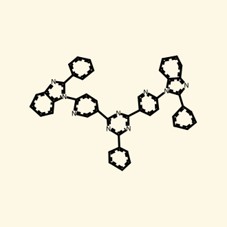 c1ccc(-c2nc(-c3ccc(-n4c(-c5ccccc5)nc5ccccc54)nc3)nc(-c3ccc(-n4c(-c5ccccc5)nc5ccccc54)nc3)n2)cc1